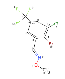 CO/N=C/c1cc(C(F)(F)F)cc(Cl)c1Br